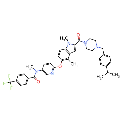 Cc1c(Oc2ccc(N(C)C(=O)c3ccc(C(F)(F)F)cc3)cn2)ccc2c1cc(C(=O)N1CCN(Cc3ccc(C(C)C)cc3)CC1)n2C